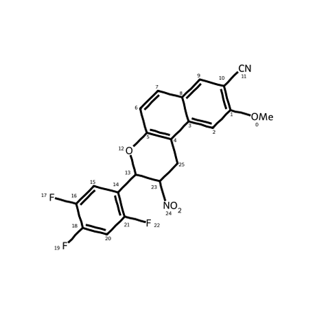 COc1cc2c3c(ccc2cc1C#N)OC(c1cc(F)c(F)cc1F)C([N+](=O)[O-])C3